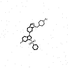 CC(=O)N1CCC(Cn2ncc3ccc(-c4cn(S(=O)(=O)c5ccccc5)c5cc(F)ccc45)cc32)CC1